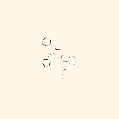 CC(C)CC(O)C(=O)NC(C(=O)NC1C(=O)Nc2ccccc2OC1c1ccccc1)C1CCCCC1